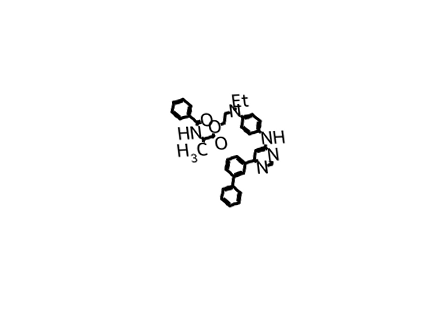 CCN(CCOC(=O)C(C)NC(=O)c1ccccc1)c1ccc(Nc2cc(-c3cccc(-c4ccccc4)c3)ncn2)cc1